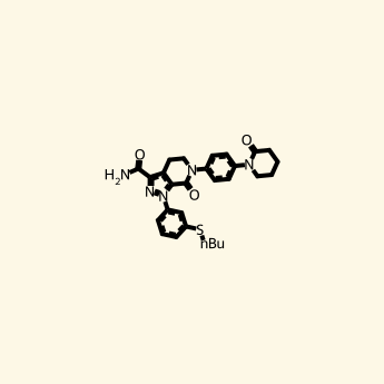 CCCCSc1cccc(-n2nc(C(N)=O)c3c2C(=O)N(c2ccc(N4CCCCC4=O)cc2)CC3)c1